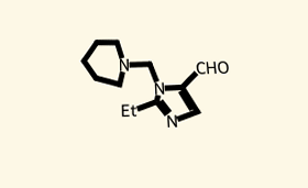 CCc1ncc(C=O)n1CN1CCCCC1